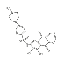 CN1CCN(c2ccc(S(=O)(=O)Nc3cc4c(c(O)c3O)C(=O)c3ccccc3C4=O)cc2)CC1